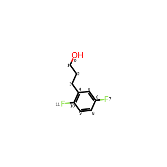 OCCCc1cc(F)ccc1F